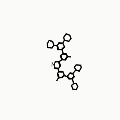 Cc1cc(-c2cncc(-c3cc(C)cc(-c4cc(C5CCCCC5)cc(C5CCCCC5)c4)c3)c2)cc(-c2cc(C3CCCCC3)cc(C3CCCCC3)c2)c1